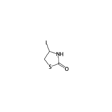 O=C1NC(I)CS1